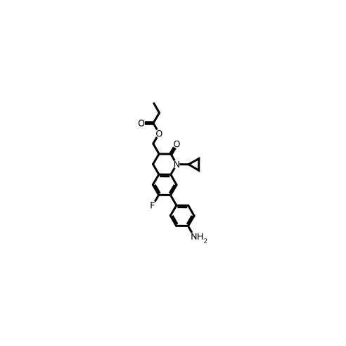 CCC(=O)OCC1Cc2cc(F)c(-c3ccc(N)cc3)cc2N(C2CC2)C1=O